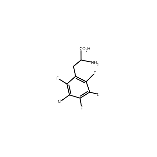 NC(Cc1c(F)c(Cl)c(F)c(Cl)c1F)C(=O)O